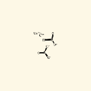 [C+4].[Co+2].[O-]B([O-])[O-].[O-]B([O-])[O-]